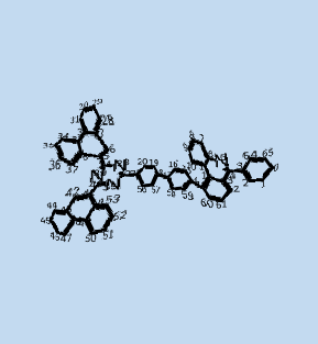 c1ccc(-c2nc3ccccc3c3c(-c4ccc(-c5ccc(-c6nc(-c7cc8ccccc8c8ccccc78)nc(-c7cc8ccccc8c8ccccc78)n6)cc5)cc4)cccc23)cc1